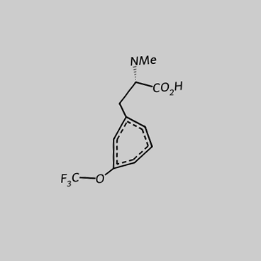 CN[C@@H](Cc1cccc(OC(F)(F)F)c1)C(=O)O